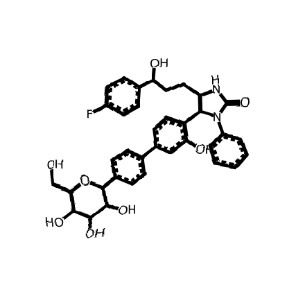 O=C1NC(CCC(O)c2ccc(F)cc2)C(c2ccc(-c3ccc(C4OC(CO)C(O)C(O)C4O)cc3)cc2O)N1c1ccccc1